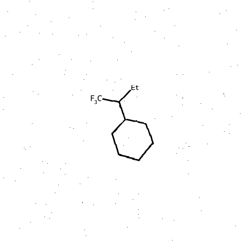 CCC(C1CCCCC1)C(F)(F)F